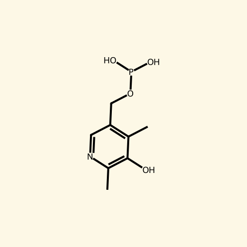 Cc1ncc(COP(O)O)c(C)c1O